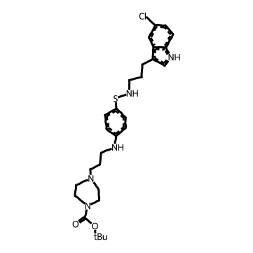 CC(C)(C)OC(=O)N1CCN(CCCNc2ccc(SNCCCc3c[nH]c4ccc(Cl)cc34)cc2)CC1